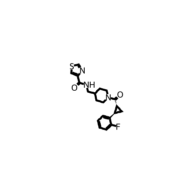 O=C(NCC1CCN(C(=O)[C@@H]2C[C@H]2c2ccccc2F)CC1)c1cscn1